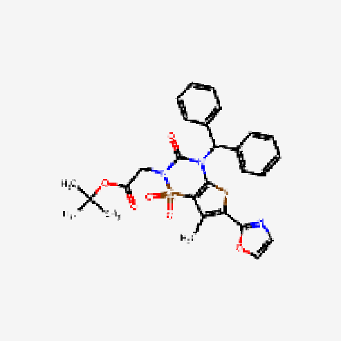 Cc1c(-c2ncco2)sc2c1S(=O)(=O)N(CC(=O)OC(C)(C)C)C(=O)N2C(c1ccccc1)c1ccccc1